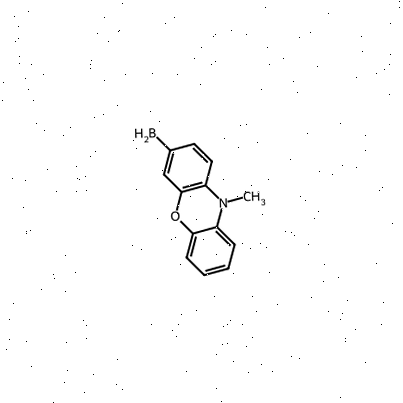 Bc1ccc2c(c1)Oc1ccccc1N2C